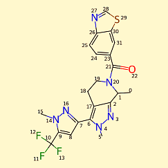 CC1c2nn(C)c(-c3cc(C(F)(F)F)n(C)n3)c2CCN1C(=O)c1ccc2ncsc2c1